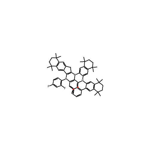 Cc1cc2c3c(c1)N(c1cc4c(cc1-c1ccccc1)C(C)(C)CCC4(C)C)c1cc4c(cc1B3C1=C(c3cc5c(cc3C1)C(C)(C)CCC5(C)C)N2c1ccc(F)cc1F)C(C)(C)CCC4(C)C